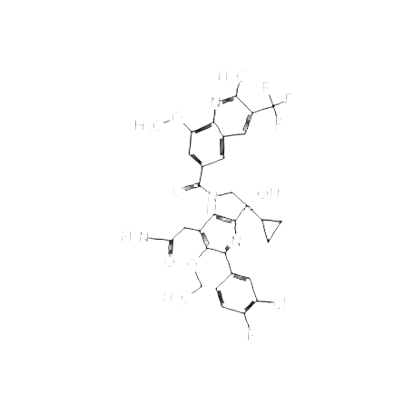 CCOc1c(CC(N)=O)cc([C@@](O)(CNC(=O)c2cc(OC)c3nc(C)c(C(F)(F)F)cc3c2)C2CC2)nc1-c1ccc(F)c(Cl)c1